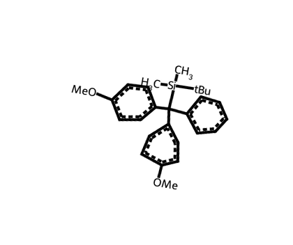 COc1ccc(C(c2ccccc2)(c2ccc(OC)cc2)[Si](C)(C)C(C)(C)C)cc1